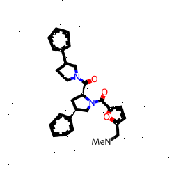 CNCc1ccc(C(=O)N2C[C@@H](c3ccccc3)C[C@H]2C(=O)N2CCC(c3ccccc3)C2)o1